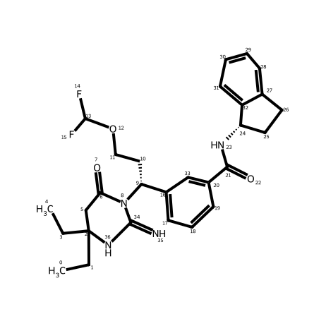 CCC1(CC)CC(=O)N([C@H](CCOC(F)F)c2cccc(C(=O)N[C@H]3CCc4ccccc43)c2)C(=N)N1